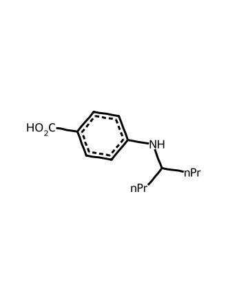 CCCC(CCC)Nc1ccc(C(=O)O)cc1